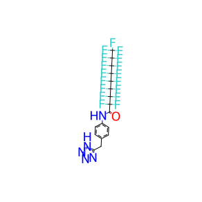 O=C(Nc1ccc(Cc2nnn[nH]2)cc1)C(F)(F)C(F)(F)C(F)(F)C(F)(F)C(F)(F)C(F)(F)C(F)(F)C(F)(F)F